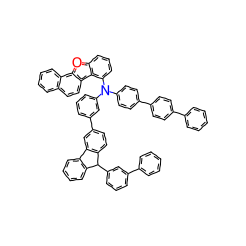 c1ccc(-c2ccc(-c3ccc(N(c4cccc(-c5ccc6c(c5)-c5ccccc5C6c5cccc(-c6ccccc6)c5)c4)c4cccc5oc6c7ccccc7ccc6c45)cc3)cc2)cc1